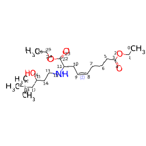 CCOC(=O)CCC/C=C\CC(NCCC(O)CC(C)(C)C)C(=O)OCC